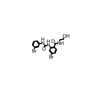 O=C(Nc1cccc(Br)c1)Nc1cc(Br)ccc1C(=O)NCCO